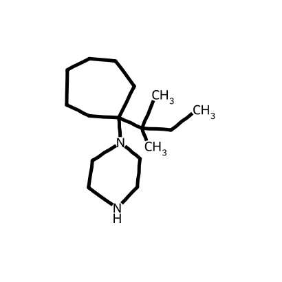 CCC(C)(C)C1(N2CCNCC2)CCCCCC1